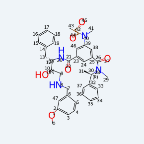 COc1cccc(CNC[C@@H](O)[C@H](Cc2ccccc2)NC(=O)c2cc(C(=O)N(C)[C@H](C)c3ccccc3)cc(N(C)S(C)(=O)=O)c2)c1